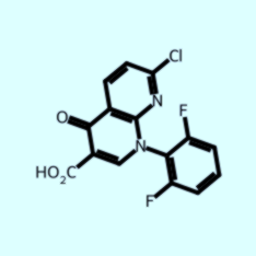 O=C(O)c1cn(-c2c(F)cccc2F)c2nc(Cl)ccc2c1=O